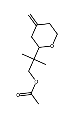 C=C1CCOC(C(C)(C)COC(C)=O)C1